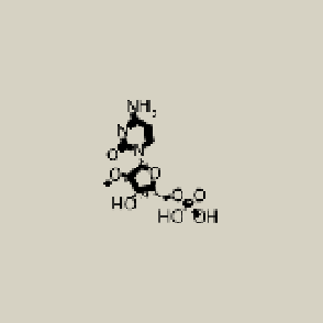 CO[C@@H]1[C@@H](O)[C@@H](COP(=O)(O)O)O[C@H]1n1ccc(N)nc1=O